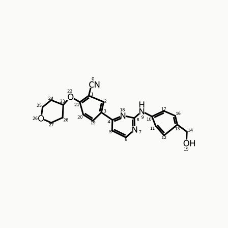 N#Cc1cc(-c2ccnc(Nc3ccc(CO)cc3)n2)ccc1OC1CCOCC1